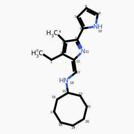 CCC1=C(C)C(c2ccc[nH]2)=N/C1=C/NC1CCCCCCC1